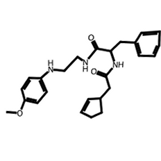 COc1ccc(NCCNC(=O)C(Cc2ccccc2)NC(=O)CC2C=CCC2)cc1